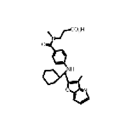 Cc1c(C(Nc2ccc(C(=O)N(C)CCC(=O)O)cc2)C2CCCCC2)oc2cccnc12